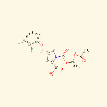 CC(=O)O[C@H](C)OC(=O)N1C[C@@H](COc2cccc(F)c2F)C[C@H]1C(=O)O